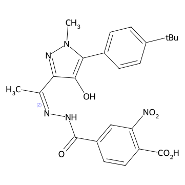 C/C(=N/NC(=O)c1ccc(C(=O)O)c([N+](=O)[O-])c1)c1nn(C)c(-c2ccc(C(C)(C)C)cc2)c1O